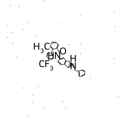 Cc1cccc(C(=O)Nc2ccc3c(c2)C[C@H](NCc2ccccc2)C3)c1-c1ccc(C(F)(F)F)cc1